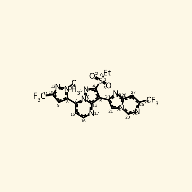 CCS(=O)(=O)c1nn2c(-c3cc(C(F)(F)F)nn3C)ccnc2c1-c1cn2cnc(C(F)(F)F)cc2n1